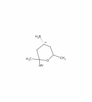 B[C@@H]1CC(C)OC(C)(CCC)C1